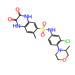 Cc1cc2[nH]c(=O)c(=O)[nH]c2cc1S(=O)(=O)Nc1ccc(N2CCOCC2C)c(Cl)c1